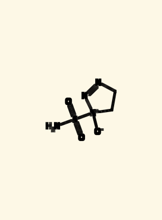 NS(=O)(=O)[N+]1([O-])CCN=N1